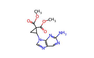 COC(=O)C1(C(=O)OC)CC1n1cnc2cnc(N)nc21